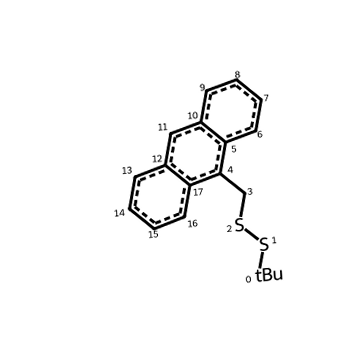 CC(C)(C)SSCc1c2ccccc2cc2ccccc12